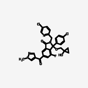 Cn1cc(C(=O)c2cc(F)c3c(c2)C(=O)N(Cc2ccc(Cl)cn2)C3(OCC2(O)CC2)c2ccc(Cl)cc2)cn1